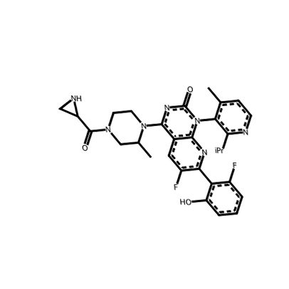 Cc1ccnc(C(C)C)c1-n1c(=O)nc(N2CCN(C(=O)C3CN3)CC2C)c2cc(F)c(-c3c(O)cccc3F)nc21